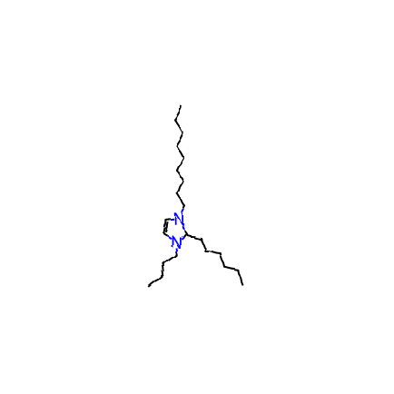 CCCCCCCCCN1C=CN(CCCC)C1CCCCCC